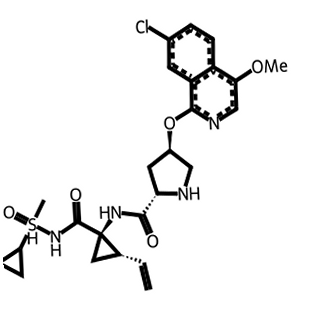 C=C[C@@H]1C[C@]1(NC(=O)[C@@H]1C[C@@H](Oc2ncc(OC)c3ccc(Cl)cc23)CN1)C(=O)N[SH](C)(=O)C1CC1